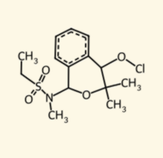 CCS(=O)(=O)N(C)C1OC(C)(C)C(OCl)c2ccccc21